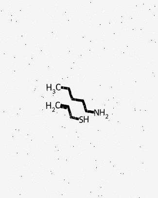 C=CCS.CCCCCN